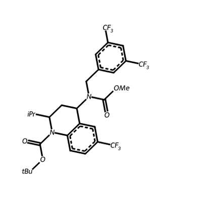 COC(=O)N(Cc1cc(C(F)(F)F)cc(C(F)(F)F)c1)C1CC(C(C)C)N(C(=O)OC(C)(C)C)c2ccc(C(F)(F)F)cc21